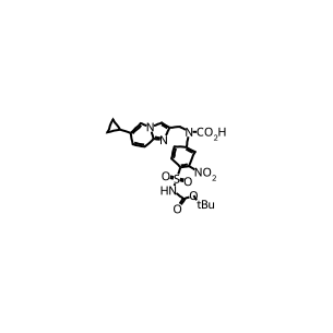 CC(C)(C)OC(=O)NS(=O)(=O)c1ccc(N(Cc2cn3cc(C4CC4)ccc3n2)C(=O)O)cc1[N+](=O)[O-]